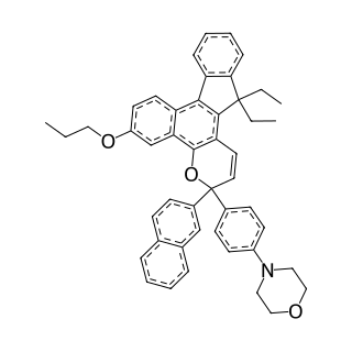 CCCOc1ccc2c3c(c4c(c2c1)OC(c1ccc(N2CCOCC2)cc1)(c1ccc2ccccc2c1)C=C4)C(CC)(CC)c1ccccc1-3